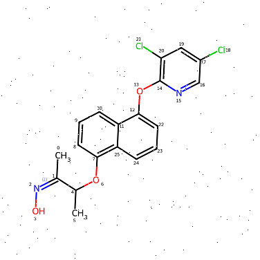 C/C(=N/O)C(C)Oc1cccc2c(Oc3ncc(Cl)cc3Cl)cccc12